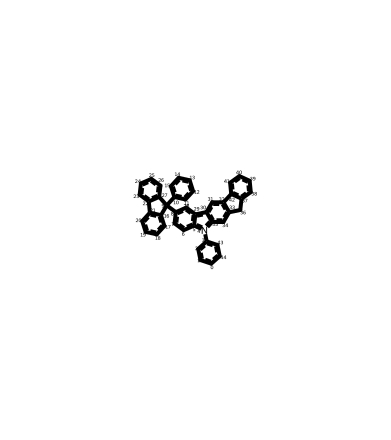 c1ccc(-n2c3ccc(C4(c5ccccc5)c5ccccc5-c5ccccc54)cc3c3cc4c(cc32)Cc2ccccc2-4)cc1